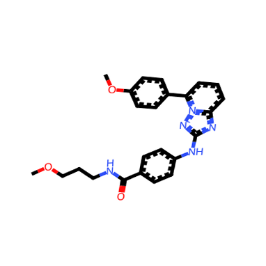 COCCCNC(=O)c1ccc(Nc2nc3cccc(-c4ccc(OC)cc4)n3n2)cc1